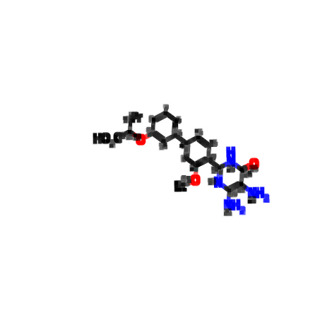 CCOc1cc(-c2cccc(OC(C(=O)O)C(C)C)c2)ccc1-c1nc(N)c(N)c(=O)[nH]1